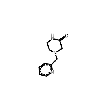 O=C1CN(Cc2ccccn2)CCN1